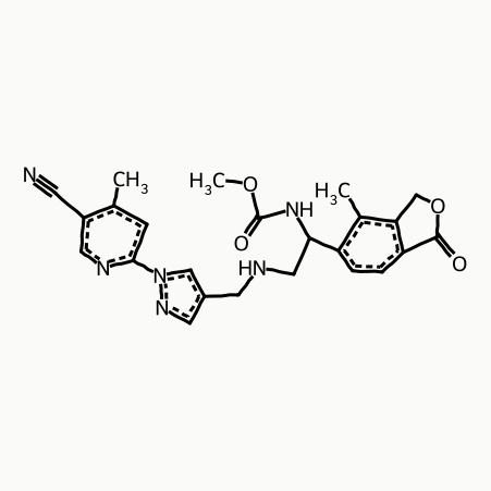 COC(=O)NC(CNCc1cnn(-c2cc(C)c(C#N)cn2)c1)c1ccc2c(c1C)COC2=O